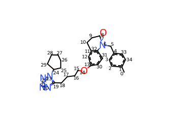 Cc1ccc(CN2C(=O)CCc3cc(OCCCCc4nnnn4C4CCCCC4)ccc32)cc1